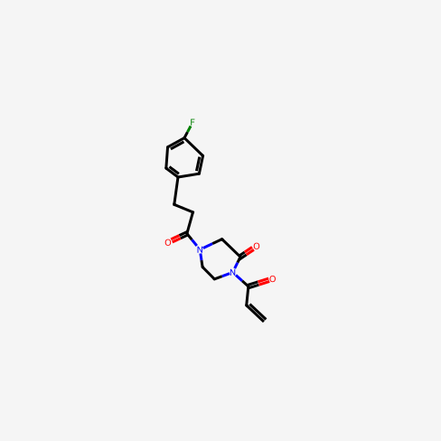 C=CC(=O)N1CCN(C(=O)CCc2ccc(F)cc2)CC1=O